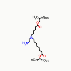 CCCCCCCCCC(C)COC(=O)CCCCCN(CCN)CCCCCCCC(=O)OC(CCCCCCCC)CCCCCCCC